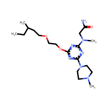 CCC(C)CCOCCOc1nc(N(C)CC(N)=O)nc(N2CCN(C)CC2)n1